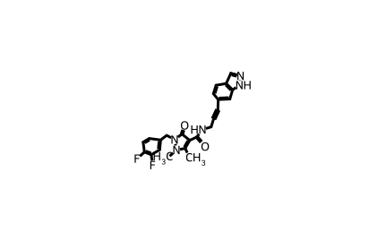 Cc1c(C(=O)NCC#Cc2ccc3cn[nH]c3c2)c(=O)n(Cc2ccc(F)c(F)c2)n1C